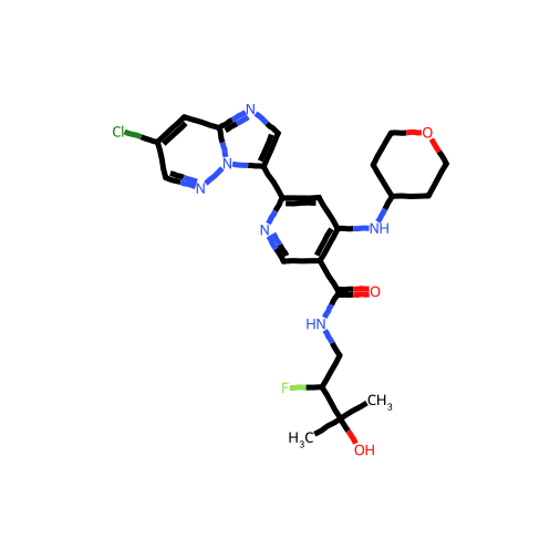 CC(C)(O)C(F)CNC(=O)c1cnc(-c2cnc3cc(Cl)cnn23)cc1NC1CCOCC1